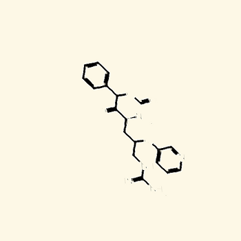 N=C(N)NCC(C[C@H](N)C(=O)C(O[C]=O)c1ccccc1)Oc1cccnc1